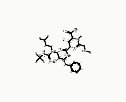 CNCC(=O)N(C)[C@H](C(=O)O)[C@@H](C)CC(=O)N[C@@H](Cc1ccccc1)[C@H](O)CN(CCC(C)C)C(=O)NC(C)(C)C